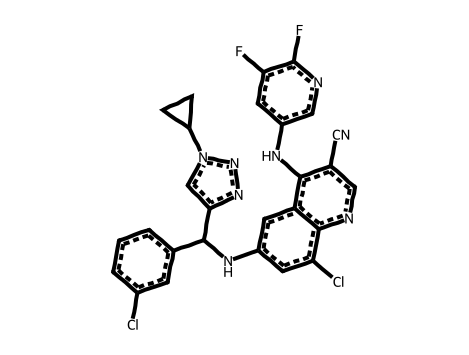 N#Cc1cnc2c(Cl)cc(NC(c3cccc(Cl)c3)c3cn(C4CC4)nn3)cc2c1Nc1cnc(F)c(F)c1